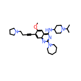 COc1cc2c(NC3CCN(C(C)C)CC3)nc(N3CCCCCC3)nc2cc1C#CCCN1CCCC1